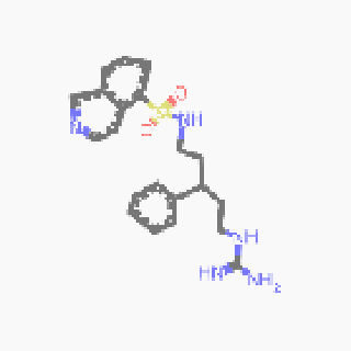 N=C(N)NCCC(CCNS(=O)(=O)c1cccc2cnccc12)c1ccccc1